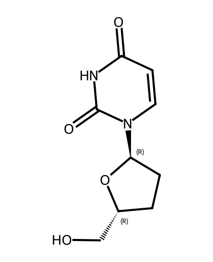 O=c1ccn([C@H]2CC[C@H](CO)O2)c(=O)[nH]1